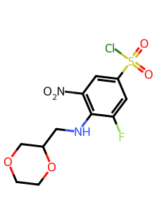 O=[N+]([O-])c1cc(S(=O)(=O)Cl)cc(F)c1NCC1COCCO1